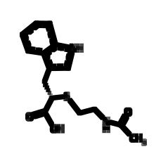 CC(=O)NCCS[C@@H](Cc1c[nH]c2ccccc12)C(=O)O